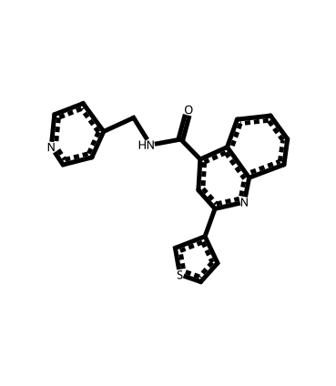 O=C(NCc1ccncc1)c1cc(-c2ccsc2)nc2ccccc12